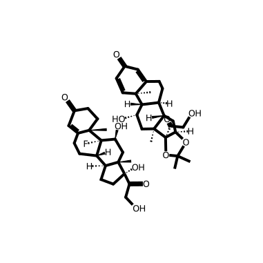 CC1(C)O[C@@H]2C[C@H]3[C@@H]4CCC5=CC(=O)C=C[C@]5(C)[C@H]4[C@@H](O)C[C@]3(C)[C@]2(C(=O)CO)O1.C[C@]12CCC(=O)C=C1CC[C@H]1[C@@H]3CC[C@](O)(C(=O)CO)[C@@]3(C)C[C@H](O)[C@@]12F